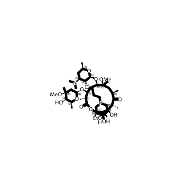 CC[C@H]1OC(=O)[C@H](C)[C@@H](O[C@H]2C[C@@](C)(OC)[C@@H](O)[C@H](C)O2)[C@H](C)[C@@H](O[C@@H]2O[C@H](C)C[C@H](N(C)C)[C@H]2OCCCN2CCC(O)CC2)[C@@](C)(OC)C[C@@H](C)C(=O)[C@H](C)[C@@H](O)[C@]1(C)O